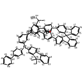 CC(CC(c1ccc(-c2ccc3c(c2)C2(c4ccccc4-c4ccc(-c5ccc(-c6cccc(-c7cccc(N(c8ccc(-c9ccccc9)cc8)c8ccc9c(c8)C(C)(C)c8ccccc8-9)c7)c6)cc5)cc42)c2ccccc2-3)cc1)C(C)C(C)(C)C)C(C)(C)C